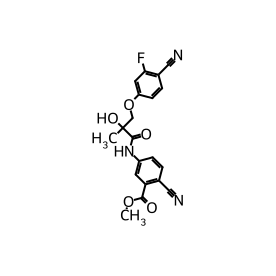 COC(=O)c1cc(NC(=O)C(C)(O)COc2ccc(C#N)c(F)c2)ccc1C#N